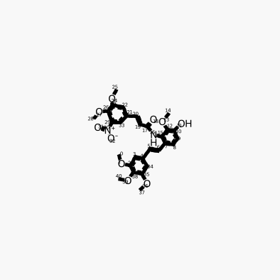 COc1cc(/C=C/c2ccc(O)c(OC)c2NC(=O)/C=C/c2cc(OC)c(OC)c([N+](=O)[O-])c2)cc(OC)c1OC